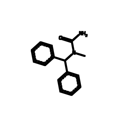 CN(C(N)=O)C(c1ccccc1)c1ccccc1